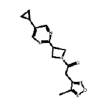 Cc1nonc1CC(=O)N1CC(c2ncc(C3CC3)cn2)C1